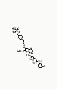 COc1cc2c(Nc3cc(CC(=O)Nc4cccc(F)c4)[nH]n3)ncnc2cc1OCCCN1CCC(COP(=O)(O)O)CC1